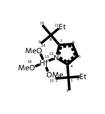 CCC(C)(C)c1ccc(C(C)(C)CC)[n]1[Hf]([O]C)([O]C)[O]C